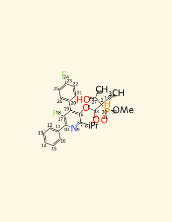 C#CC(C(=O)Oc1c(C(C)C)nc(-c2ccccc2)c(F)c1-c1ccc(F)cc1)(C(C)O)[PH](=O)OC